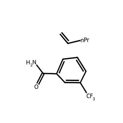 C=CCCC.NC(=O)c1cccc(C(F)(F)F)c1